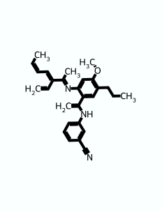 C=CC(=C\C=C/C)/C(C)=N/c1cc(OC)c(CCC)cc1C(=C)Nc1cccc(C#N)c1